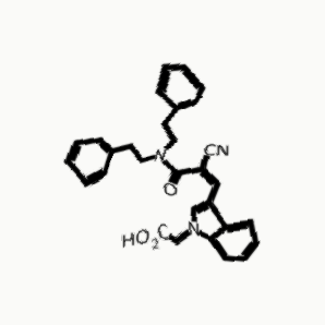 N#CC(=Cc1cn(CC(=O)O)c2ccccc12)C(=O)N(CCc1ccccc1)CCc1ccccc1